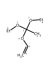 [CH2]COC(C)(OC=C)OCC